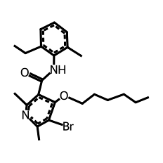 CCCCCCOc1c(Br)c(C)nc(C)c1C(=O)Nc1c(C)cccc1CC